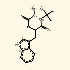 CC(C)(C)OC(=O)NC(Cc1c[nH]c2ccccc12)C(=O)NC(C)(C)C(=O)O